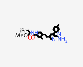 COC(=O)C(CC(C)C)NC(=O)c1ccc(CCc2cnc3c(N)nc4cc(C)ccc4c3c2)c(C)c1